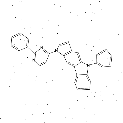 c1ccc(-c2nccc(-n3ccc4cc5c(cc43)c3ccccc3n5-c3ccccc3)n2)cc1